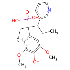 CCC(c1cccnc1)C(CC)(c1cc(OC)c(O)c(OC)c1)P(=O)(O)O